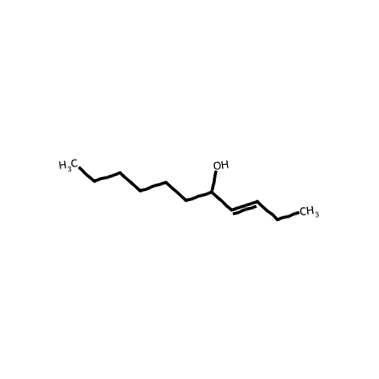 CCC=CC(O)CCCCCC